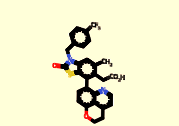 Cc1cc2c(sc(=O)n2Cc2ccc(C(F)(F)F)cc2)c(-c2ccc3c4c(ccnc24)CCO3)c1CC(=O)O